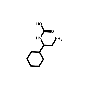 NCC(NC(=O)O)C1CCCCC1